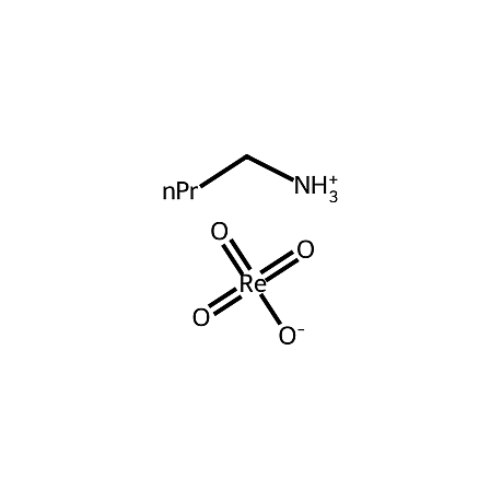 CCCC[NH3+].[O]=[Re](=[O])(=[O])[O-]